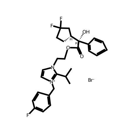 CC(C)c1n(CCOC(=O)[C@](O)(c2ccccc2)[C@@H]2CCC(F)(F)C2)cc[n+]1Cc1ccc(F)cc1.[Br-]